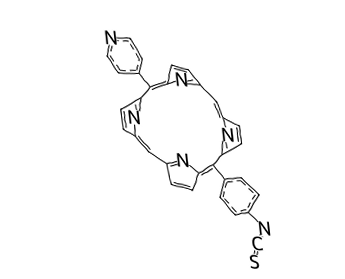 S=C=Nc1ccc(C2=C3C=CC(=N3)C=C3C=CC(=N3)C(c3ccncc3)=C3C=CC(=N3)C=C3C=CC2=N3)cc1